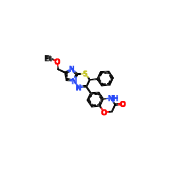 CCOCc1cn2c(n1)SC(c1ccccc1)C(c1ccc3c(c1)NC(=O)CO3)=N2